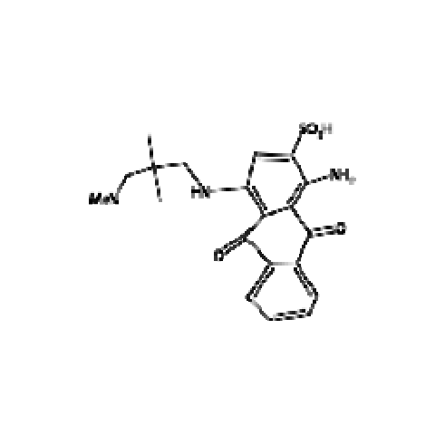 CNCC(C)(C)CNc1cc(S(=O)(=O)O)c(N)c2c1C(=O)c1ccccc1C2=O